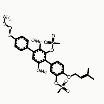 COc1cc(-c2ccc(SOON)cc2)c(OC)c(OS(C)(=O)=O)c1-c1ccc(OCC=C(C)C)c(OS(C)(=O)=O)c1